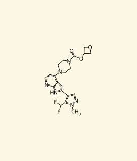 Cn1ncc(-c2cc3c(N4CCN(C(=O)OC5COC5)CC4)ccnc3[nH]2)c1C(F)F